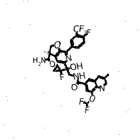 Cc1cnc2c(OC(F)F)cc(C(=O)NCC(O)(c3cc4c(c(-c5ccc(F)c(C(F)(F)F)c5)n3)OC[C@]4(C)C(N)=O)C3(F)CC3)cc2c1